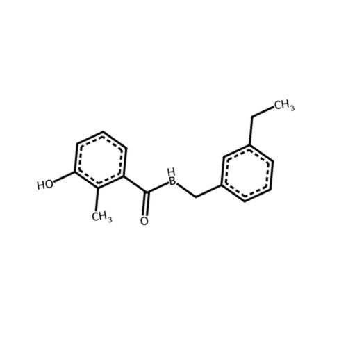 CCc1cccc(CBC(=O)c2cccc(O)c2C)c1